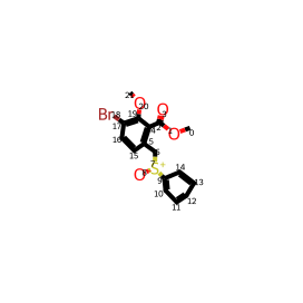 COC(=O)c1c(C[S+]([O-])c2ccccc2)ccc(Br)c1OC